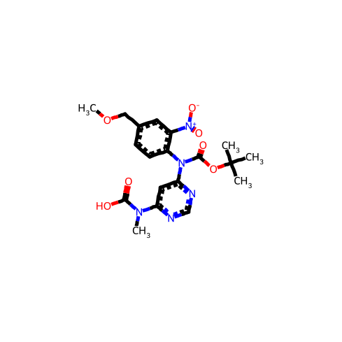 COCc1ccc(N(C(=O)OC(C)(C)C)c2cc(N(C)C(=O)O)ncn2)c([N+](=O)[O-])c1